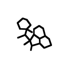 CC1C2CCCC3CCCC(C32)C1(C)C(C)C1(C)CCCCC1